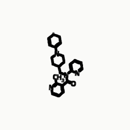 Cc1ncccc1C(=O)N(CC1CCN(C2=CC[CH]C=C2)CC1)c1ccccn1